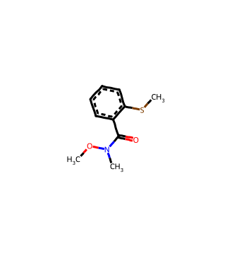 CON(C)C(=O)c1ccccc1SC